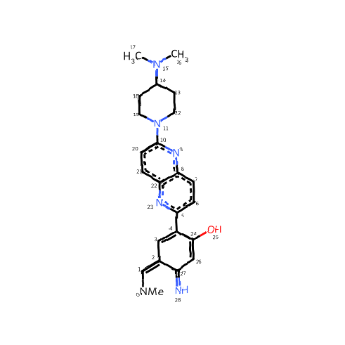 CN/C=C1/C=C(c2ccc3nc(N4CCC(N(C)C)CC4)ccc3n2)C(O)=CC1=N